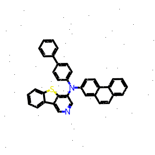 c1ccc(-c2ccc(N(c3ccc4c(ccc5ccccc54)c3)c3cncc4c3sc3ccccc34)cc2)cc1